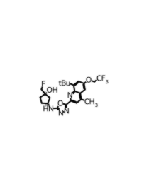 Cc1cc(-c2nnc(N[C@H]3CC[C@@](O)(CF)C3)o2)nc2c(C(C)(C)C)cc(OCC(F)(F)F)cc12